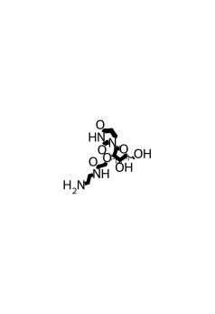 NCCNC(=O)CO[C@H]1[C@@H](O)[C@@H](CO)O[C@H]1n1ccc(=O)[nH]c1=O